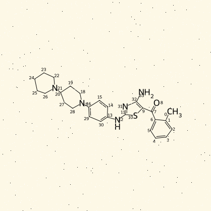 Cc1ccccc1C(=O)c1sc(Nc2ccc(N3CCC(N4CCCCC4)CC3)cc2)nc1N